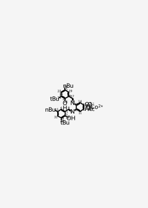 CC(=O)[O-].CC(=O)[O-].CCCCc1cc(C=Nc2ccccc2N=Cc2cc(CCCC)cc(C(C)(C)C)c2O)c(O)c(C(C)(C)C)c1.[Co+2]